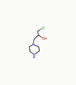 OC(CCl)CN1CCNCC1